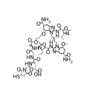 CCc1nc(C)oc1C(=O)Nc1nc2cc(C(N)=O)cc(OC)c2n1C/C=C/Cn1c(NC(=O)c2oc(C)nc2CC)nc2cc(C(N)=O)cc(OCCCOC(=O)[C@@H](C)NC(=O)CNC(=O)[C@H](CCC(=O)O)NC(=O)CN3C(=O)CC(S)C3=O)c21